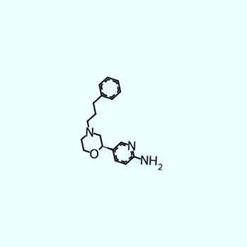 Nc1ccc([C@@H]2CN(CCCc3ccccc3)CCO2)cn1